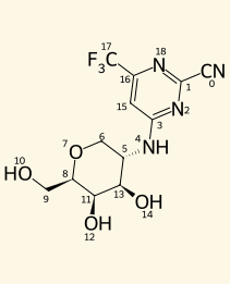 N#Cc1nc(N[C@H]2CO[C@H](CO)[C@H](O)[C@@H]2O)cc(C(F)(F)F)n1